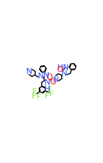 CN1CCC(Cn2c(C(Cc3cc(C(F)(F)F)cc(C(F)(F)F)c3)NC(=O)ON3CCC(N4CCc5ccccc5NC4=O)CC3)nc3ccccc32)CC1